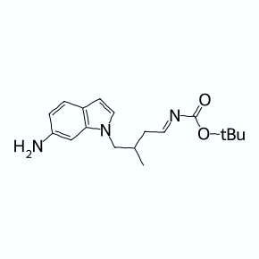 CC(CC=NC(=O)OC(C)(C)C)Cn1ccc2ccc(N)cc21